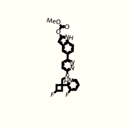 COC(=O)Oc1cc2cc(-c3ccc(NCC4(c5ncccc5F)CC(F)C4)nn3)ccc2[nH]1